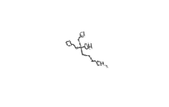 CCCCC(O)(CCl)CCl